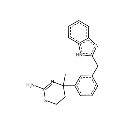 CC1(c2cccc(Cc3nc4ccccc4[nH]3)c2)CCSC(N)=N1